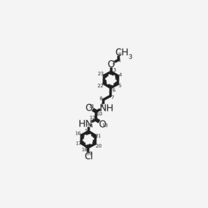 CCOc1ccc(CCNC(=O)C(=O)Nc2ccc(Cl)cc2)cc1